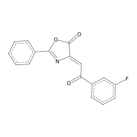 O=C1OC(c2ccccc2)=NC1=CC(=O)c1cccc(F)c1